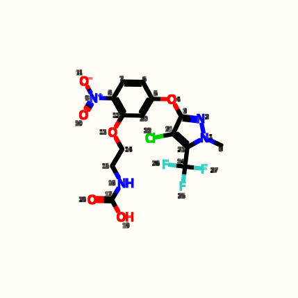 Cn1nc(Oc2ccc([N+](=O)[O-])c(OCCNC(=O)O)c2)c(Cl)c1C(F)(F)F